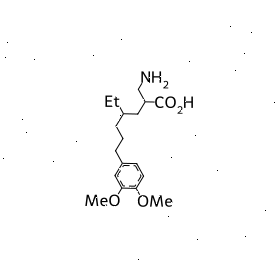 CCC(CCCc1ccc(OC)c(OC)c1)CC(CN)C(=O)O